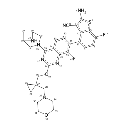 N#Cc1c(N)sc2c(F)ccc(-c3ncc4c(N5CC6CC(C5)N6)nc(OCC5(CN6CCOCC6)CC5)nc4c3F)c12